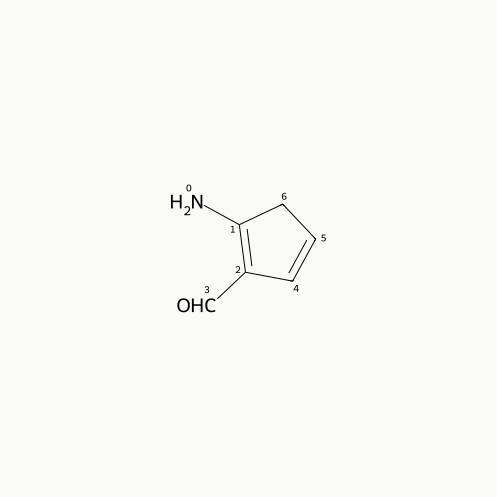 NC1=C(C=O)C=CC1